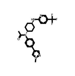 CC(=O)N(c1ccc(-c2cnn(C)c2)cc1)[C@H]1CC[C@H](Nc2ccc(C(F)(F)F)cn2)CC1